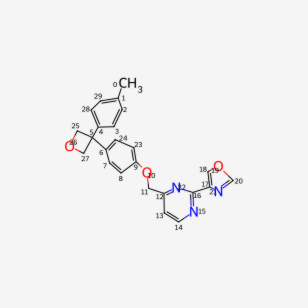 Cc1ccc(C2(c3ccc(OCc4ccnc(-c5cocn5)n4)cc3)COC2)cc1